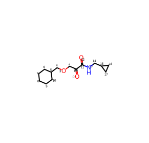 O=C(COCC1CCCCC1)C(=O)NCC1CC1